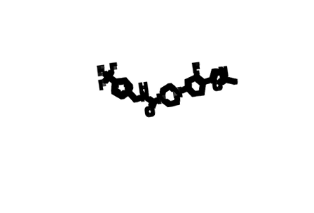 Cc1ncc(C2=C(F)C=C(N3CCN(C(=O)NCc4ccc(C(F)(F)F)cc4)CC3)CC2)o1